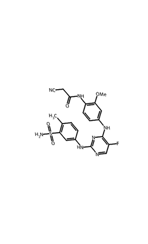 COc1cc(Nc2nc(Nc3ccc(C)c(S(N)(=O)=O)c3)ncc2F)ccc1NC(=O)CC#N